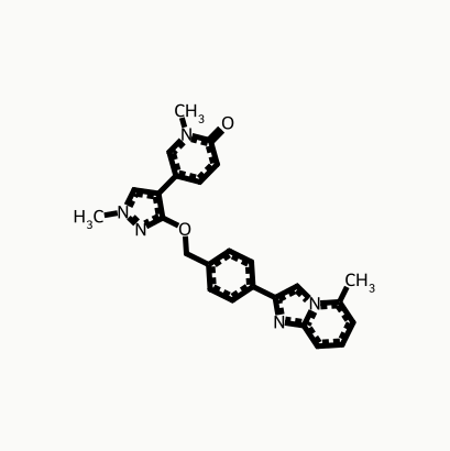 Cc1cccc2nc(-c3ccc(COc4nn(C)cc4-c4ccc(=O)n(C)c4)cc3)cn12